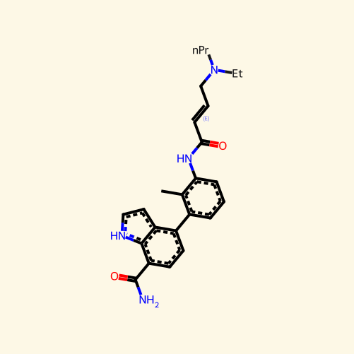 CCCN(CC)C/C=C/C(=O)Nc1cccc(-c2ccc(C(N)=O)c3[nH]ccc23)c1C